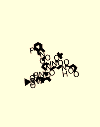 C=CC1C[C@]1(NC(=O)[C@@H]1CC(OC(=O)N2Cc3cccc(F)c3C2)CN1C(=O)[C@H](CCNC(=O)[C@H]1CCC(=O)O1)NC(=O)OC(C)(C)C)C(=O)NS(=O)(=O)C1CC1